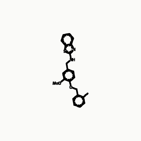 COc1cc(CNc2nc3ccccc3s2)ccc1OCc1ccccc1C